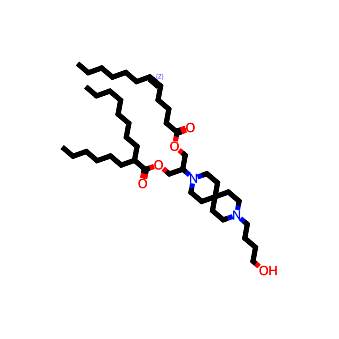 CCCCCC/C=C\CCCC(=O)OCC(COC(=O)C(CCCCCC)CCCCCCCC)N1CCC2(CCN(CCCCO)CC2)CC1